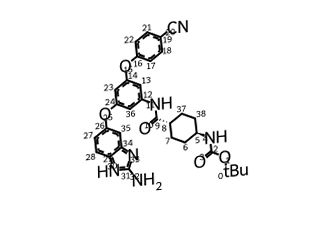 CC(C)(C)OC(=O)N[C@H]1CC[C@H](C(=O)Nc2cc(Oc3ccc(C#N)cc3)cc(Oc3ccc4[nH]c(N)nc4c3)c2)CC1